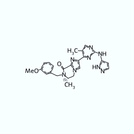 COc1cccc(CN2C(=O)c3nc(-c4nc(Nc5ccn[nH]5)ncc4C)cn3C[C@@H]2C)c1